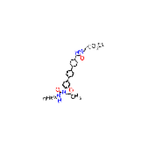 CCCCCCNC(=O)N1CC(C)Oc2cc(-c3ccc(C4CCC(CC(=O)NCCC(=O)OCC)CC4)cc3)ccc21